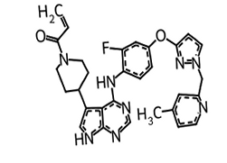 C=CC(=O)N1CCC(c2c[nH]c3ncnc(Nc4ccc(Oc5ccn(Cc6cc(C)ccn6)n5)cc4F)c23)CC1